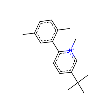 Cc1ccc(C)c(-c2ccc(C(C)(C)C)c[n+]2C)c1